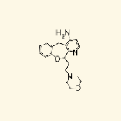 Nc1ccnc2c1Cc1ccccc1OC2CCN1CCOCC1